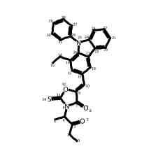 CCC(=O)C(C)N1C(=O)/C(=C/c2cc(CC)c3c(c2)c2ccccc2n3-c2ccccc2)OC1=S